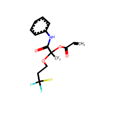 C=CC(=O)OC(OCCC(F)(F)S)(C(=O)Nc1ccccc1)C(F)(F)F